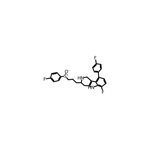 [O-][S+](CCCC1Cc2[nH]c3c(F)ccc(-c4ccc(F)cc4)c3c2CN1)c1ccc(F)cc1